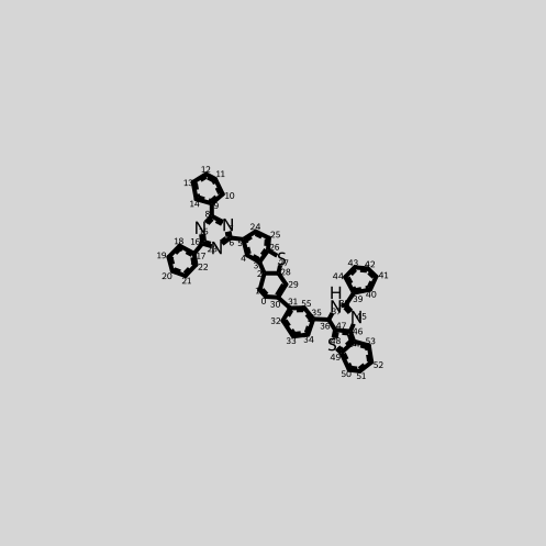 C1=CC2c3cc(-c4nc(-c5ccccc5)nc(-c5ccccc5)n4)ccc3SC2C=C1c1cccc(C2NC(c3ccccc3)=Nc3c2sc2ccccc32)c1